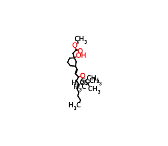 CCCCCCCC(C=CC1CCCC(O)(CC(=O)OCC)C1)O[Si](C)(C)C(C)(C)C